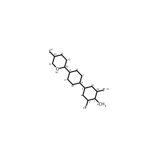 CC1C(F)CC(C2CCC(C3CCC(I)CO3)CC2)CC1F